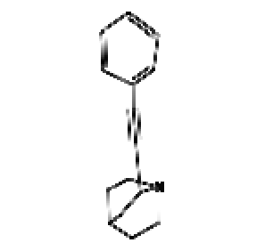 C(#CC1CC2CCN1CC2)c1ccccc1